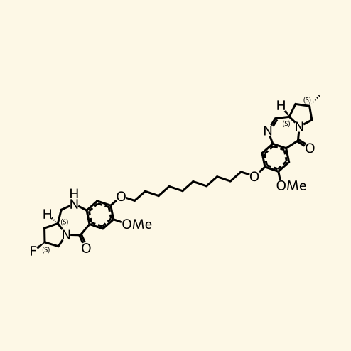 COc1cc2c(cc1OCCCCCCCCCCOc1cc3c(cc1OC)C(=O)N1C[C@@H](F)C[C@H]1CN3)N=C[C@@H]1C[C@H](C)CN1C2=O